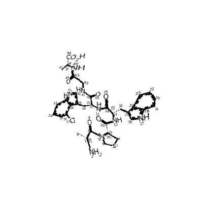 C[C@@H](N)C(=O)N1CSC[C@H]1C(=O)N[C@@H](Cc1c[nH]c2ccccc12)C(=O)N[C@@H](Cc1c[nH]c2cccc(Cl)c12)C(=O)NCC(=O)N[C@H](C)C(=O)O